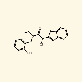 CCN(Cc1ccccc1O)C(=O)C(O)c1cc2ccccc2s1